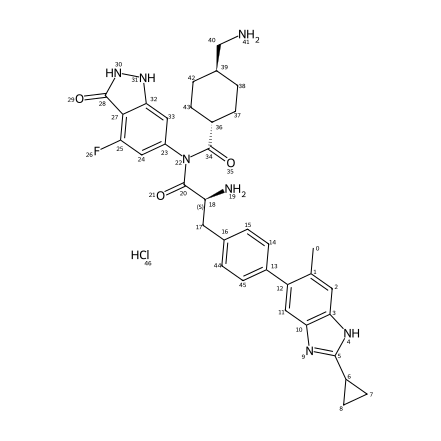 Cc1cc2[nH]c(C3CC3)nc2cc1-c1ccc(C[C@H](N)C(=O)N(c2cc(F)c3c(=O)[nH][nH]c3c2)C(=O)[C@H]2CC[C@H](CN)CC2)cc1.Cl